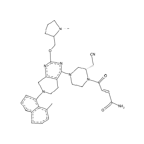 Cc1cccc2cccc(N3CCc4c(nc(OCC5CCCN5C)nc4N4CCN(C(=O)/C=C/C(N)=O)[C@@H](CC#N)C4)C3)c12